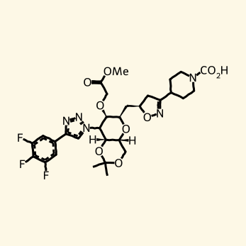 COC(=O)CO[C@@H]1C(n2cc(-c3cc(F)c(F)c(F)c3)nn2)[C@H]2OC(C)(C)OC[C@H]2O[C@@H]1C[C@H]1CC(C2CCN(C(=O)O)CC2)=NO1